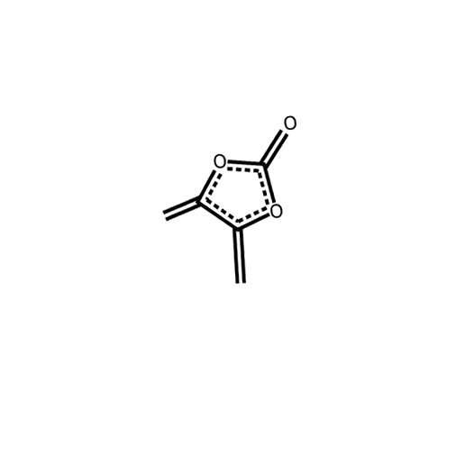 C=c1oc(=O)oc1=C